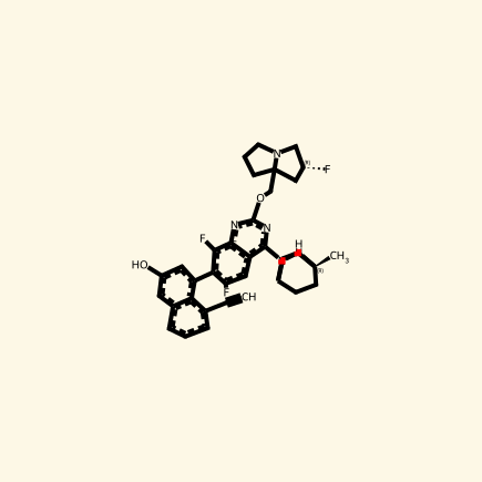 C#Cc1cccc2cc(O)cc(-c3c(F)cc4c(N5C[C@@]6(C)CCC5CN6)nc(OCC56CCCN5C[C@H](F)C6)nc4c3F)c12